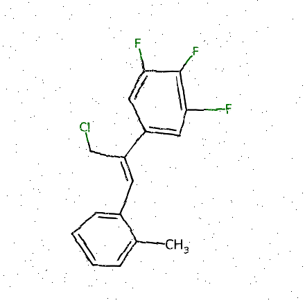 Cc1ccccc1C=C(CCl)c1cc(F)c(F)c(F)c1